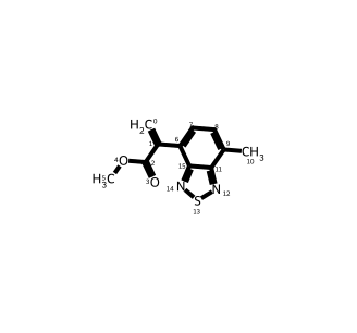 C=C(C(=O)OC)c1ccc(C)c2nsnc12